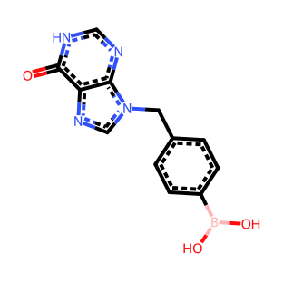 O=c1[nH]cnc2c1ncn2Cc1ccc(B(O)O)cc1